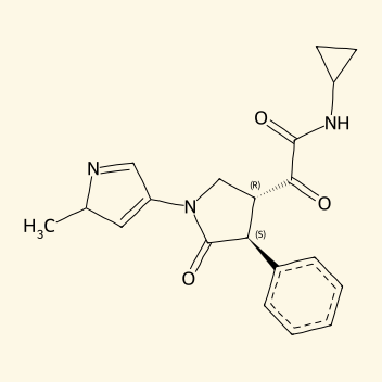 CC1C=C(N2C[C@H](C(=O)C(=O)NC3CC3)[C@@H](c3ccccc3)C2=O)C=N1